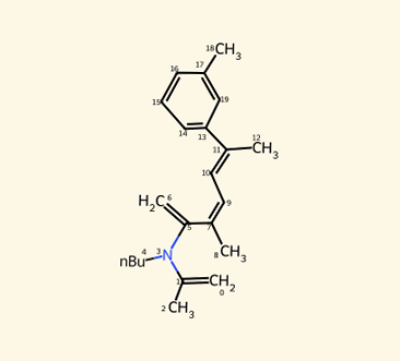 C=C(C)N(CCCC)C(=C)/C(C)=C\C=C(/C)c1cccc(C)c1